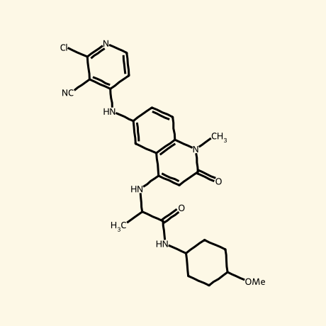 COC1CCC(NC(=O)C(C)Nc2cc(=O)n(C)c3ccc(Nc4ccnc(Cl)c4C#N)cc23)CC1